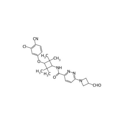 CC1(C)C(NC(=O)c2ccc(N3CC(C=O)C3)nn2)C(C)(C)C1Oc1ccc(C#N)c(Cl)c1